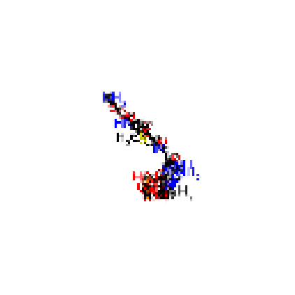 CSSC(C)c1cc(NC(=O)COCCOCCN)ccc1C(=O)OCCCCC(=O)NCC#Cc1cn([C@H]2CC(OC(=O)c3ccccc3C(C)N=[N+]=[N-])[C@@H](COP(=O)(O)OP(=O)(O)OP(=O)(O)O)O2)c2nc(N)[nH]c(=O)c12